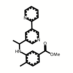 COC(=O)c1ccc(C)c(NC(C)c2cncc(-c3ccccn3)c2)c1